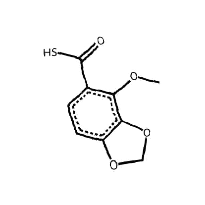 COc1c(C(=O)S)ccc2c1OCO2